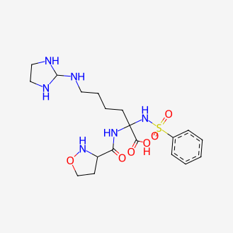 O=C(NC(CCCCNC1NCCN1)(NS(=O)(=O)c1ccccc1)C(=O)O)C1CCON1